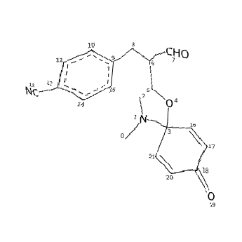 CN(C)C1(OCC(C=O)Cc2ccc(C#N)cc2)C=CC(=O)C=C1